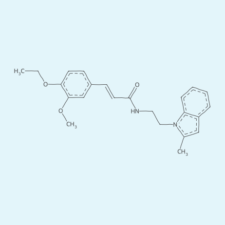 CCOc1ccc(C=CC(=O)NCCn2c(C)cc3ccccc32)cc1OC